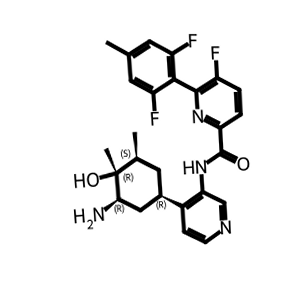 Cc1cc(F)c(-c2nc(C(=O)Nc3cnccc3[C@H]3C[C@@H](N)[C@](C)(O)[C@@H](C)C3)ccc2F)c(F)c1